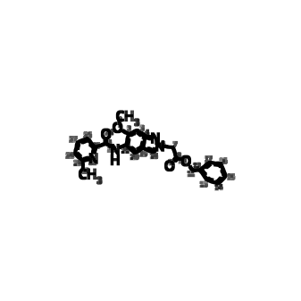 COc1cc2nn(CC(=O)OCc3ccccc3)cc2cc1NC(=O)c1cccc(C)n1